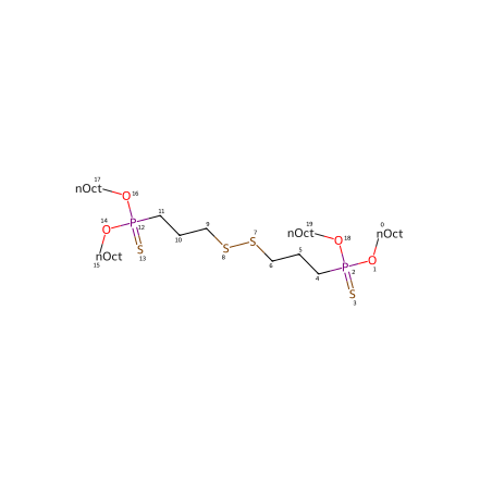 CCCCCCCCOP(=S)(CCCSSCCCP(=S)(OCCCCCCCC)OCCCCCCCC)OCCCCCCCC